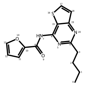 CCCCc1nc(NC(=O)c2ccco2)c2sccc2n1